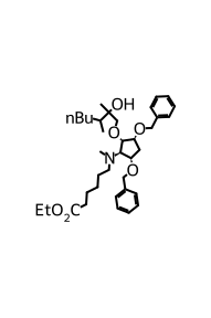 CCCCC(C)C(C)(O)CO[C@H]1[C@H](N(C)CCCCCC(=O)OCC)[C@@H](OCc2ccccc2)C[C@H]1OCc1ccccc1